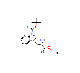 C=CCOC(=O)C(Cc1cn(C(=O)OC(C)(C)C)c2ccccc12)NC